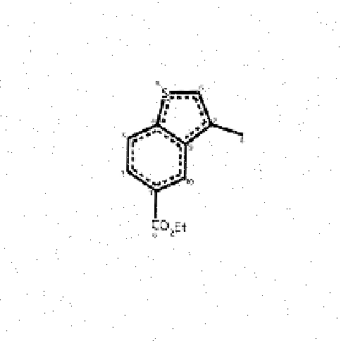 CCOC(=O)c1ccc2scc(C)c2c1